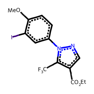 CCOC(=O)c1cnn(-c2ccc(OC)c(I)c2)c1C(F)(F)F